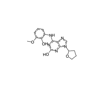 COc1cccc(Nc2nc(O)nc3c2ncn3C2CCCO2)c1O